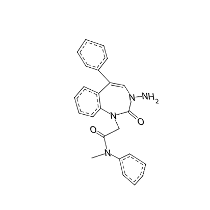 CN(C(=O)CN1C(=O)N(N)C=C(c2ccccc2)c2ccccc21)c1ccccc1